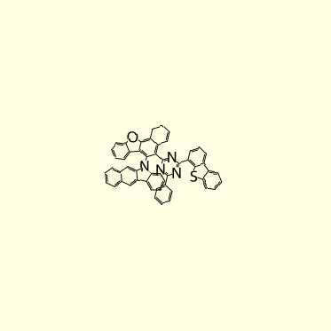 C1=Cc2c(-c3nc(-c4ccccc4)nc(-c4cccc5c4sc4ccccc45)n3)c(-n3c4ccccc4c4cc5ccccc5cc43)c3c(oc4ccccc43)c2CC1